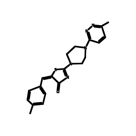 Cc1ccc(C=C2SC(N3CCN(c4ccc(C)nn4)CC3)=NC2=O)cc1